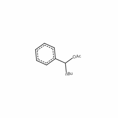 CCCCC(OC(C)=O)c1ccccc1